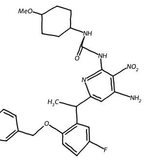 COC1CCC(NC(=O)Nc2nc(C(C)c3cc(F)ccc3OCc3ccccc3)cc(N)c2[N+](=O)[O-])CC1